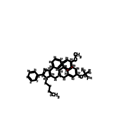 CCCCn1c(-c2ccccc2)nc(-c2ccccc2)c1CN(Cc1ccc(OC)cc1)Cc1cccc(OC(F)(F)F)c1